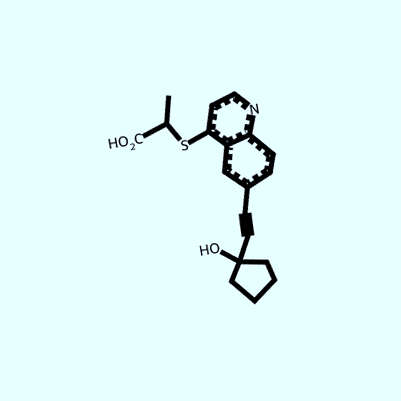 CC(Sc1ccnc2ccc(C#CC3(O)CCCC3)cc12)C(=O)O